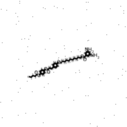 CCCCC(=O)Oc1ccc(OC(=O)C=Cc2ccc(OCCCCCCCCCCCOC(=O)c3cc(N)cc(N)c3)cc2)cc1